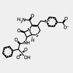 NC(=O)C1=C(C[n+]2ccc(C(=O)[O-])cc2)CS[C@H]2C(NC(=O)C(c3ccccc3)S(=O)(=O)O)C(=O)N12